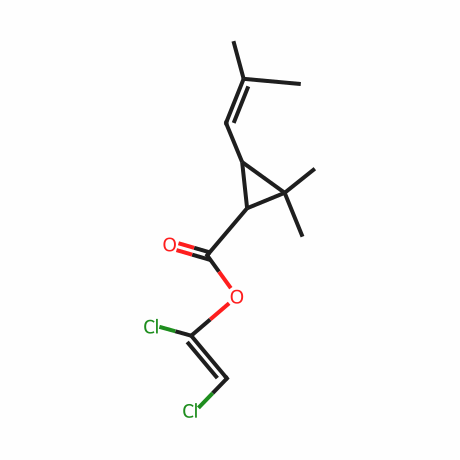 CC(C)=CC1C(C(=O)OC(Cl)=CCl)C1(C)C